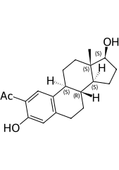 CC(=O)c1cc2c(cc1O)CC[C@@H]1[C@@H]2CC[C@]2(C)[C@@H](O)CC[C@@H]12